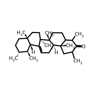 CC1C[C@@]2(C)C(CC[C@]3(C)[C@@H]2CC=C2[C@@H]4[C@@H](C)[C@H](C)CC[C@]4(C)CC[C@]23C)C(C)C1=O